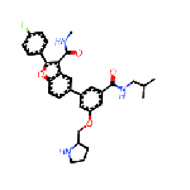 CNC(=O)c1c(-c2ccc(F)cc2)oc2ccc(-c3cc(OCC4CCCN4)cc(C(=O)NCC(C)C)c3)cc12